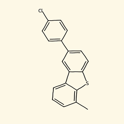 Cc1cccc2c1sc1ccc(-c3ccc(Cl)cc3)cc12